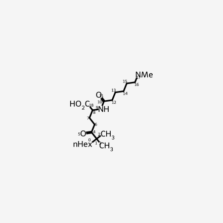 CCCCCCC(C)(C)C(=O)CCC(NC(=O)CCCCCNC)C(=O)O